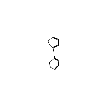 C1=CCC[C]([Ru][C]2=CC=CCC2)=C1